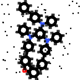 c1ccc(-c2ccc(N(c3ccccc3)c3cc(N(c4ccccc4)c4ccc(-c5ccccc5)cc4)cc(N(c4ccccc4)c4ccc(-c5ccc6oc7ccccc7c6c5)cc4)c3)cc2)cc1